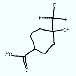 O=C(O)C1CCC(O)(C(F)(F)F)CC1